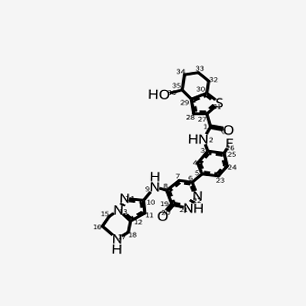 O=C(Nc1cc(-c2cc(Nc3cc4n(n3)CCNC4)c(=O)[nH]n2)ccc1F)c1cc2c(s1)CCCC2O